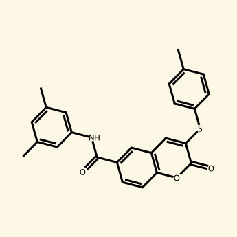 Cc1ccc(Sc2cc3cc(C(=O)Nc4cc(C)cc(C)c4)ccc3oc2=O)cc1